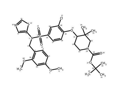 COc1ccc(CN(c2cncs2)S(=O)(=O)c2ccc(OC3CCN(C(=O)OC(C)(C)C)CC3(C)C)c(Cl)c2)c(OC)c1